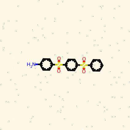 Nc1ccc(S(=O)(=O)c2ccc(S(=O)(=O)c3ccccc3)cc2)cc1